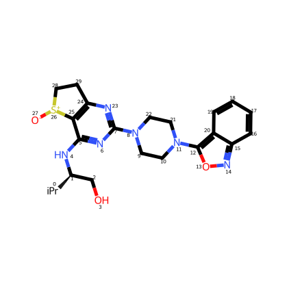 CC(C)[C@H](CO)Nc1nc(N2CCN(c3onc4ccccc34)CC2)nc2c1[S+]([O-])CC2